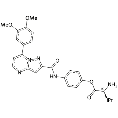 COc1ccc(-c2ccnc3cc(C(=O)Nc4ccc(OC(=O)[C@@H](N)C(C)C)cc4)nn23)cc1OC